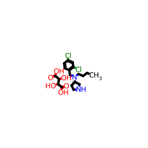 CCCCN(Cc1ccc(Cl)cc1Cl)[C@H]1CCNC1.O=C(O)C(O)C(O)C(=O)O